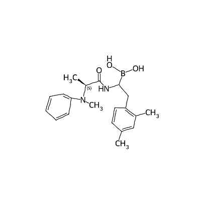 Cc1ccc(CC(NC(=O)[C@H](C)N(C)c2ccccc2)B(O)O)c(C)c1